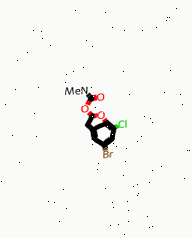 CNC(=O)OC1Cc2cc(Br)cc(Cl)c2O1